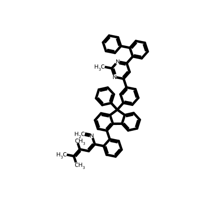 C=N/C(=C\C(C)=C(C)C)c1ccccc1-c1cccc2c1-c1ccccc1C2(c1ccccc1)c1cccc(-c2cc(-c3ccccc3-c3ccccc3)nc(C)n2)c1